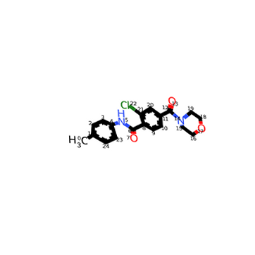 Cc1ccc(NC(=O)c2ccc(C(=O)N3CCOCC3)cc2Cl)cc1